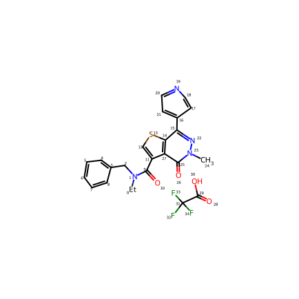 CCN(Cc1ccccc1)C(=O)c1csc2c(-c3ccncc3)nn(C)c(=O)c12.O=C(O)C(F)(F)F